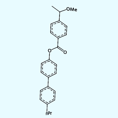 CCCc1ccc(-c2ccc(OC(=O)c3ccc(C(C)OC)cc3)cc2)cc1